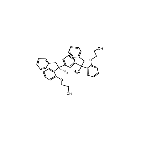 CC(Cc1ccccc1)(c1cccc(C(C)(Cc2ccccc2)c2ccccc2OCCO)c1)c1ccccc1OCCO